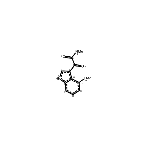 CNC(=O)C(=O)c1c[nH]c2cccc(OC(C)=O)c12